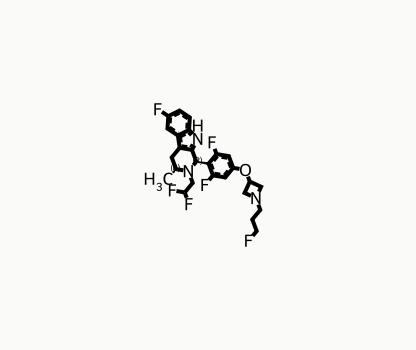 C[C@@H]1Cc2c([nH]c3ccc(F)cc23)[C@@H](c2c(F)cc(OC3CN(CCCF)C3)cc2F)N1CC(F)F